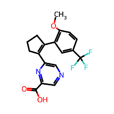 COc1ccc(C(F)(F)F)cc1C1=C(c2cncc(C(=O)O)n2)CCC1